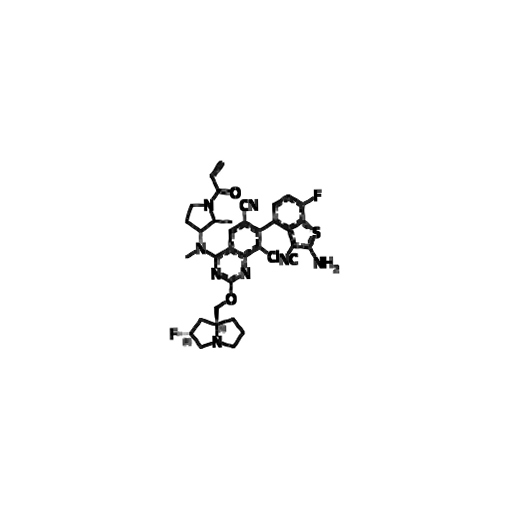 C=CC(=O)N1CCC(N(C)c2nc(OC[C@@]34CCCN3C[C@H](F)C4)nc3c(Cl)c(-c4ccc(F)c5sc(N)c(C#N)c45)c(C#N)cc23)C1C